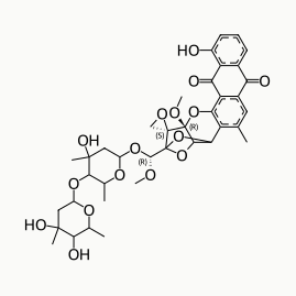 CO[C@H](OC1CC(C)(O)C(OC2CC(C)(O)C(O)C(C)O2)C(C)O1)C12OC3c4c(C)cc5c(c4O[C@](OC)(C3O1)[C@@]21CO1)C(=O)c1c(O)cccc1C5=O